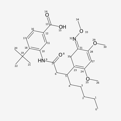 CCCCCC(CC(=O)Nc1cc(C(=O)O)ccc1C(C)(C)C)C1=C(OC)C=C(OC)C(=NOC)C1